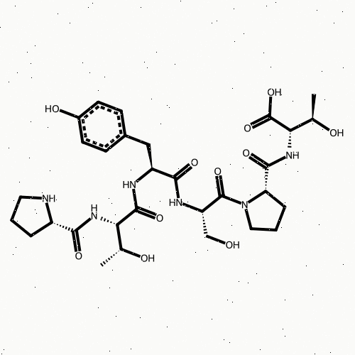 C[C@@H](O)[C@H](NC(=O)[C@@H]1CCCN1C(=O)[C@H](CO)NC(=O)[C@H](Cc1ccc(O)cc1)NC(=O)[C@@H](NC(=O)[C@@H]1CCCN1)[C@@H](C)O)C(=O)O